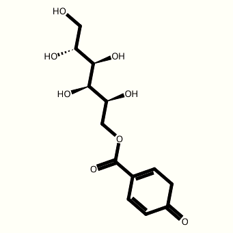 O=C1C=CC(C(=O)OC[C@H](O)[C@@H](O)[C@H](O)[C@H](O)CO)=CC1